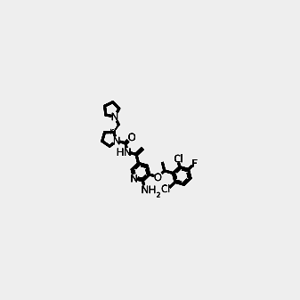 C=C(NC(=O)N1CCC[C@H]1CN1CCCC1)c1cnc(N)c(OC(C)c2c(Cl)ccc(F)c2Cl)c1